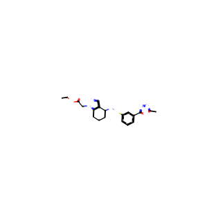 CCOC(=O)Cn1ncc2c1CCCC2NS(=O)(=O)c1cccc(-c2nnc(C)o2)c1